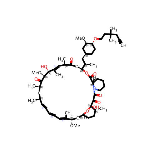 C#CCC(C)(C)CCO[C@@H]1CC[C@@H](C[C@@H](C)[C@@H]2CC(=O)[C@H](C)/C=C(\C)[C@@H](O)[C@@H](OC)C(=O)[C@H](C)C[C@H](C)/C=C/C=C/C=C(\C)[C@@H](OC)C[C@@H]3CC[C@@H](C)[C@@](O)(O3)C(=O)C(=O)N3CCCC[C@H]3C(=O)O2)C[C@H]1OC